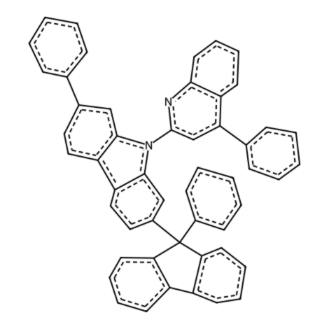 c1ccc(-c2ccc3c4ccc(C5(c6ccccc6)c6ccccc6-c6ccccc65)cc4n(-c4cc(-c5ccccc5)c5ccccc5n4)c3c2)cc1